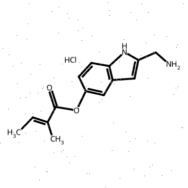 C/C=C(\C)C(=O)Oc1ccc2[nH]c(CN)cc2c1.Cl